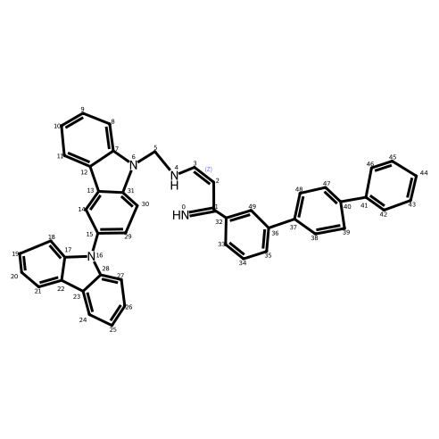 N=C(/C=C\NCn1c2ccccc2c2cc(-n3c4ccccc4c4ccccc43)ccc21)c1cccc(-c2ccc(-c3ccccc3)cc2)c1